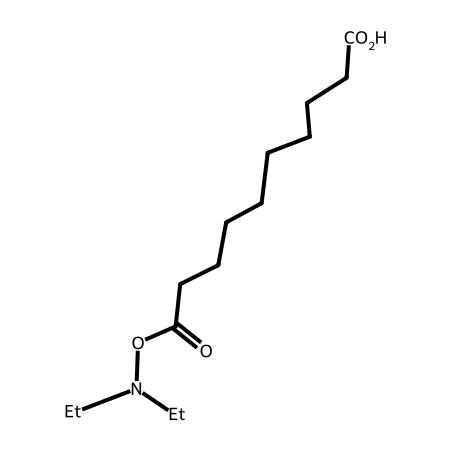 CCN(CC)OC(=O)CCCCCCCCC(=O)O